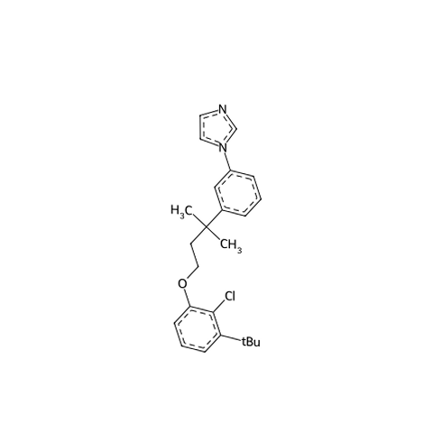 CC(C)(C)c1cccc(OCCC(C)(C)c2cccc(-n3ccnc3)c2)c1Cl